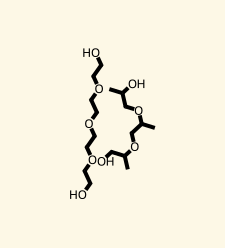 CC(O)COC(C)COC(C)CO.OCCOCCOCCOCCO